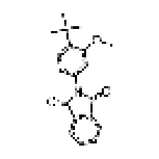 COc1cc(N2C(=O)c3ccccc3C2=O)ccc1C(C)(C)C